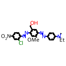 CCN(C)c1ccc(N=Nc2cc(CO)c(N=Nc3ccc([N+](=O)[O-])cc3Cl)cc2OC)cc1